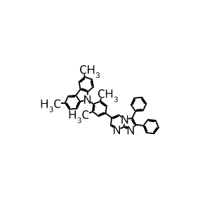 Cc1ccc2c(c1)c1cc(C)ccc1n2-c1c(C)cc(-c2cnc3nc(-c4ccccc4)c(-c4ccccc4)n3c2)cc1C